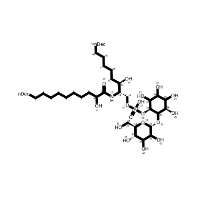 CCCCCCCCCCCCCCCCCCC(O)C(=O)N[C@@H](COP(=O)(O)O[C@H]1C(O)C(O)C(O)[C@@H](O)C1O[C@H]1O[C@H](CO)[C@@H](O)C(O)C1O)[C@H](O)CCCCCCCCCCCCCCC